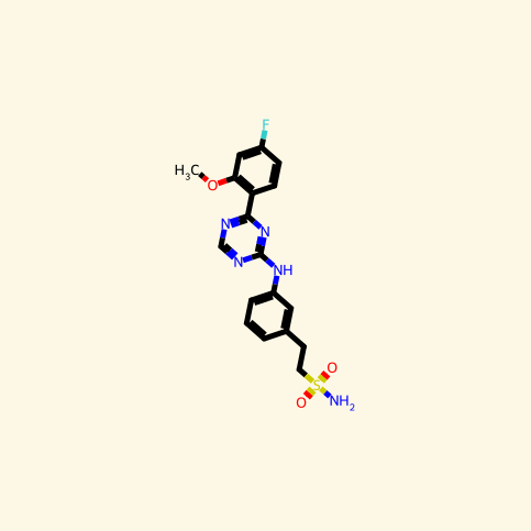 COc1cc(F)ccc1-c1ncnc(Nc2cccc(CCS(N)(=O)=O)c2)n1